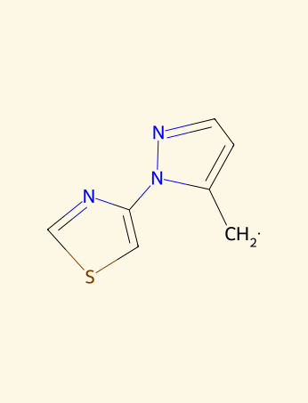 [CH2]c1ccnn1-c1cscn1